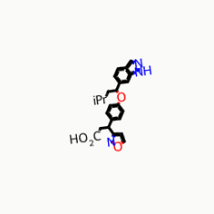 CC(C)CC(Oc1ccc(C(CC(=O)O)c2ccon2)cc1)c1ccc2cn[nH]c2c1